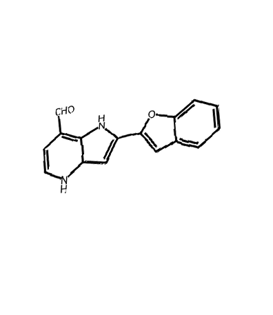 O=CC1=C2NC(c3cc4ccccc4o3)=CC2NC=C1